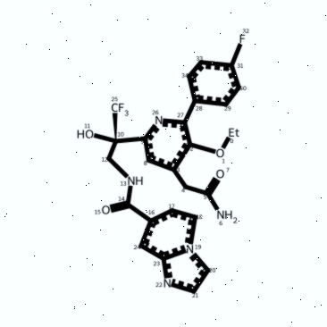 CCOc1c(CC(N)=O)cc([C@@](O)(CNC(=O)c2ccn3ccnc3c2)C(F)(F)F)nc1-c1ccc(F)cc1